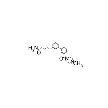 CN1CCN(C(=O)c2cccc(-c3cccc(CCCCC(N)=O)c3)c2)CC1